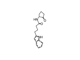 O=C(CCCc1cc2ccccc2[nH]1)NC1CCCC1=O